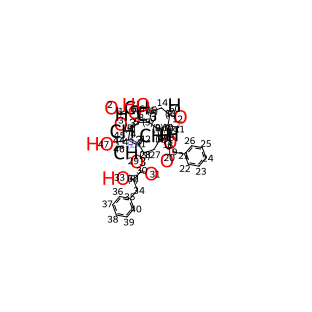 CC(=O)O[C@H]1C(=O)[C@@]2(C)[C@@H]([C@@H]3CO[C@@H]3C[C@@H]2O)[C@H](OC(=O)c2ccccc2)C[C@H](OC(=O)[C@H](O)Cc2ccccc2)/C(C)=C/1C(C)(C)O